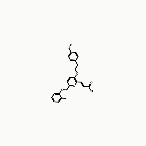 COc1ccc(CCOc2ccc(CSc3ccccc3C)nc2C=CC(=O)O)cc1